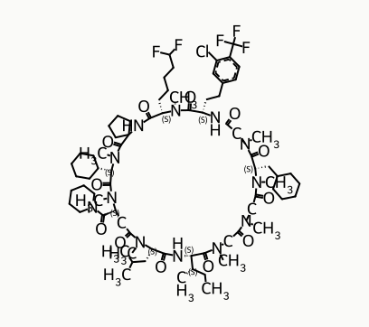 CC[C@H](C)[C@@H]1NC(=O)[C@H](CC(C)C)N(C)C(=O)C[C@@H](C(=O)N2CCCCC2)N(C)C(=O)[C@H](C2CCCCC2)N(C)C(=O)C2(CCCC2)NC(=O)[C@H](CCCCC(F)F)N(C)C(=O)[C@H](CCc2ccc(C(F)(F)F)c(Cl)c2)NC(=O)CN(C)C(=O)[C@H](CC2CCCCC2)N(C)C(=O)CN(C)C(=O)CN(C)C1=O